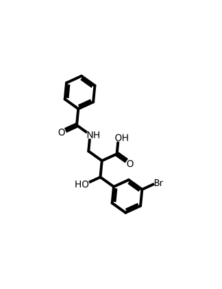 O=C(NCC(C(=O)O)C(O)c1cccc(Br)c1)c1ccccc1